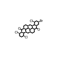 O=c1c2cc(Br)cc(Cl)c2c2cc3ccc4c(=O)c5c(Cl)ccc(Cl)c5c5cc6ccc1c2c6c3c45